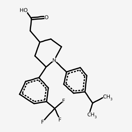 CC(C)c1ccc(N2CCC(CC(=O)O)CC2c2cccc(C(F)(F)F)c2)cc1